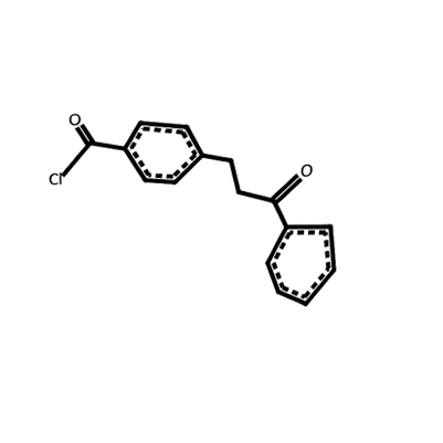 O=C(Cl)c1ccc(CCC(=O)c2ccccc2)cc1